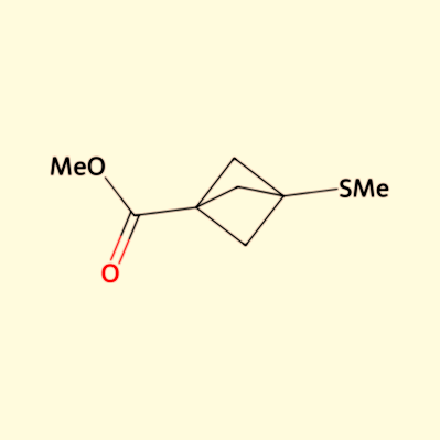 COC(=O)C12CC(SC)(C1)C2